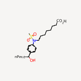 CCCCCC(O)c1ccc(N(CCCCCCCC(=O)O)S(C)(=O)=O)cc1